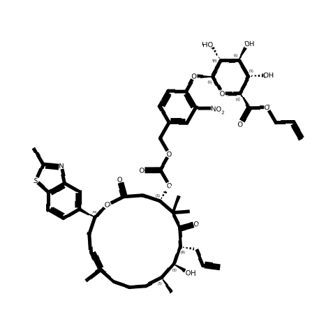 C=CCOC(=O)[C@H]1O[C@@H](Oc2ccc(COC(=O)O[C@H]3CC(=O)O[C@H](c4ccc5sc(C)nc5c4)CC=C(C)CCC[C@H](C)[C@H](O)[C@@H](CC=C)C(=O)C3(C)C)cc2[N+](=O)[O-])[C@H](O)[C@@H](O)[C@@H]1O